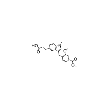 COC(=O)c1ccc(Cc2cn(C)c3ccc(CCC(=O)O)cc23)c(OC)c1